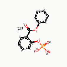 O=C(Oc1ccccc1)c1ccccc1OP(=O)(O)O.[NaH]